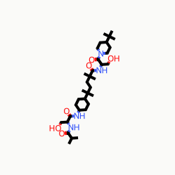 CC(C)C(=O)NC(CO)C(=O)NC1CCC(C(C)(C)CCC(C)(C)C(=O)NC(CO)C(=O)N2CCC(C(C)(C)C)CC2)CC1